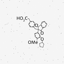 COc1ccc(C2(Cc3ccc(CC(=O)O)cc3)C(=O)c3ccccc3C2=O)cc1OC1CCCC1